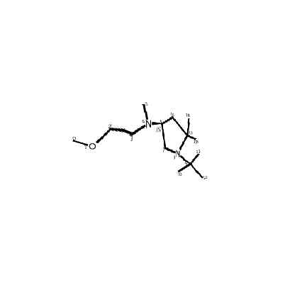 COCCN(C)[C@@H]1CN(C(C)(C)C)C(C)(C)C1